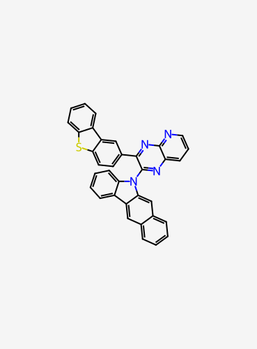 c1ccc2cc3c(cc2c1)c1ccccc1n3-c1nc2cccnc2nc1-c1ccc2sc3ccccc3c2c1